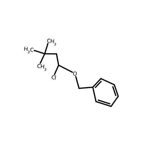 CC(C)(C)CC(Cl)OCc1ccccc1